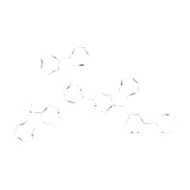 CC1(C)c2ccccc2-c2ccc(-c3cc(-c4ccc5c(c4)c4ccccc4n5-c4cccc(-c5ccccc5)c4)cc(-n4c5ccccc5c5ccccc54)c3)cc21